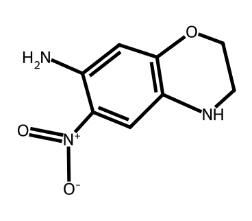 Nc1cc2c(cc1[N+](=O)[O-])NCCO2